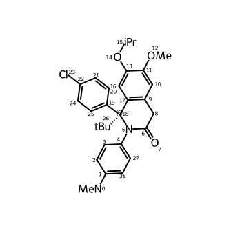 CNc1ccc(N2C(=O)Cc3cc(OC)c(OC(C)C)cc3[C@@]2(c2ccc(Cl)cc2)C(C)(C)C)cc1